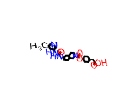 Cc1cncc(NC(=O)Nc2ccc3c(c2)CCN(C(=O)O[C@H]2CC[C@H](CC(=O)O)CC2)C3)c1